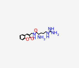 N=C(N)NCCC[C@H](N)C(=O)NCc1cc2ccccc2oc1=O